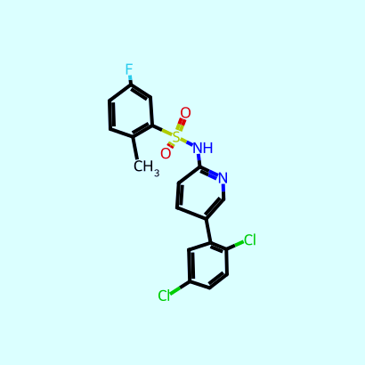 Cc1ccc(F)cc1S(=O)(=O)Nc1ccc(-c2cc(Cl)ccc2Cl)cn1